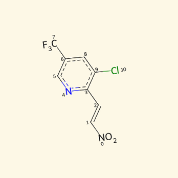 O=[N+]([O-])C=Cc1ncc(C(F)(F)F)cc1Cl